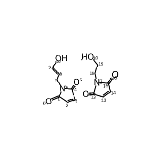 O=C1C=CC(=O)N1CC=CO.O=C1C=CC(=O)N1CCO